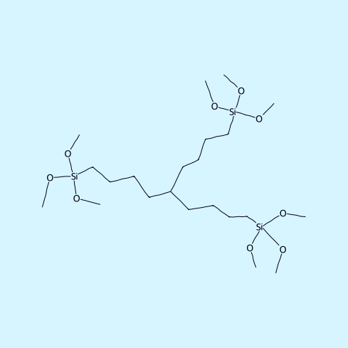 CO[Si](CCCCC(CCCC[Si](OC)(OC)OC)CCCC[Si](OC)(OC)OC)(OC)OC